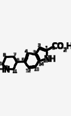 O=C(O)c1cc2cc(C3CCCNC3)ccc2[nH]1